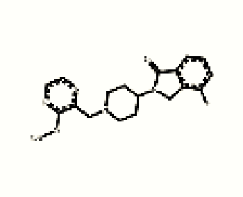 CC(C)(C)Oc1nccnc1CN1CCC(N2Cc3c(F)cccc3C2=O)CC1